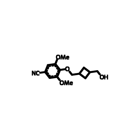 COc1cc(C#N)cc(OC)c1OCC1CC(CO)C1